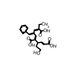 CCC(=CC(=Cc1ccccc1)C=C(C(=O)O)C(C=CC(=O)O)CCO)C(=O)O